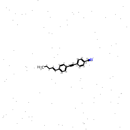 CCC/C=C/c1ccc(C#Cc2ccc(C#N)cc2)cc1